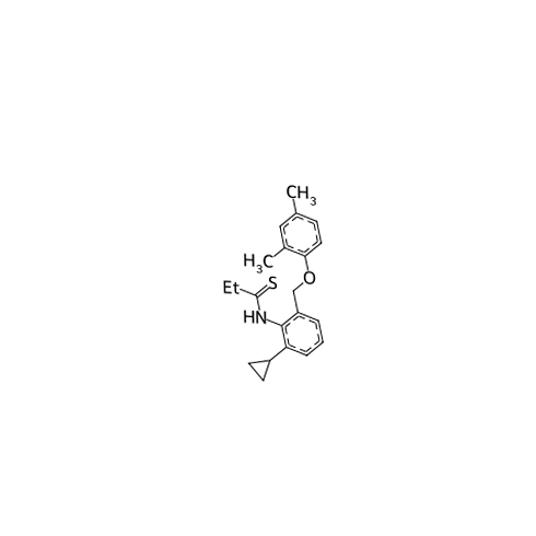 CCC(=S)Nc1c(COc2ccc(C)cc2C)cccc1C1CC1